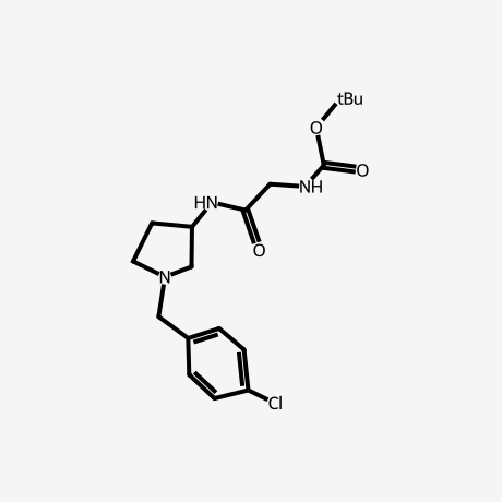 CC(C)(C)OC(=O)NCC(=O)NC1CCN(Cc2ccc(Cl)cc2)C1